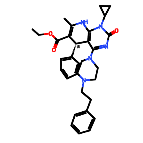 CCOC(=O)C1=C(C)Nc2c(c(N3CCN(CCc4ccccc4)CC3)nc(=O)n2C2CC2)[C@@H]1c1ccccc1